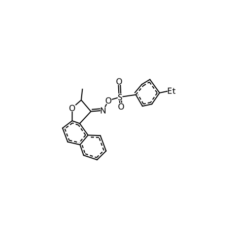 CCc1ccc(S(=O)(=O)O/N=C2/c3c(ccc4ccccc34)OC2C)cc1